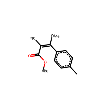 CCCCOC(=O)C(C#N)=C(OC)c1ccc(C)cc1